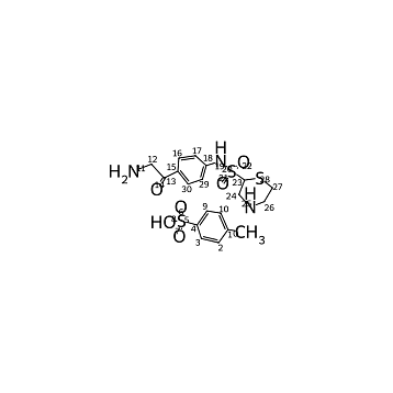 Cc1ccc(S(=O)(=O)O)cc1.NCC(=O)c1ccc(NS(=O)(=O)C2CNCCS2)cc1